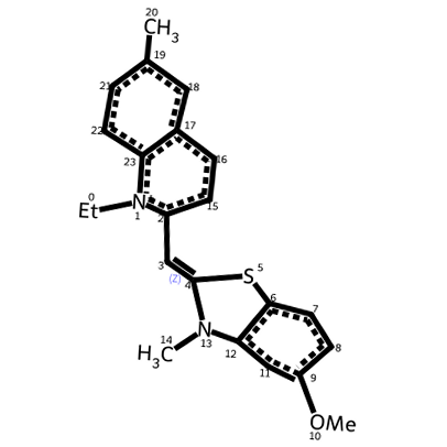 CC[n+]1c(/C=C2\Sc3ccc(OC)cc3N2C)ccc2cc(C)ccc21